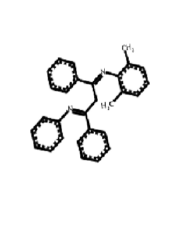 Cc1cccc(C)c1N=C(CC(=Nc1ccccc1)c1ccccc1)c1ccccc1